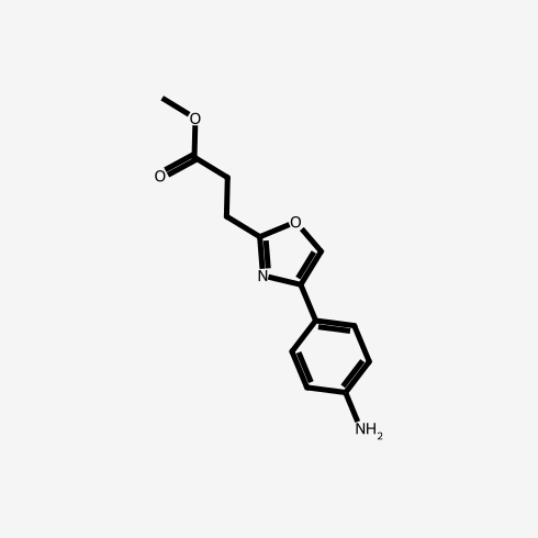 COC(=O)CCc1nc(-c2ccc(N)cc2)co1